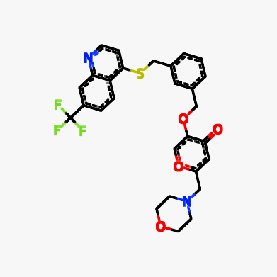 O=c1cc(CN2CCOCC2)occ1OCc1cccc(CSc2ccnc3cc(C(F)(F)F)ccc23)c1